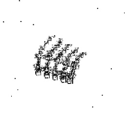 CCCCCCCCCC[C@H]1CC[C@H](C#Cc2ccc(Cl)cc2)CC1.CCCCCCCCC[C@H]1CC[C@H](C#Cc2ccc(Cl)cc2)CC1.CCCCCCCC[C@H]1CC[C@H](C#Cc2ccc(Cl)cc2)CC1.CCCCCCC[C@H]1CC[C@H](C#Cc2ccc(Cl)cc2)CC1.CCCCCC[C@H]1CC[C@H](C#Cc2ccc(Cl)cc2)CC1